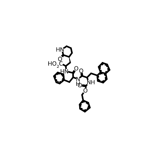 O=C(NC(Cc1cccc2ccccc12)C(=O)NC(Cc1ccccc1)C(=O)NC(C[C@@H]1CCCNC1=O)C(=O)O)OCc1ccccc1